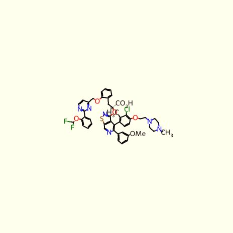 COc1cccc(-c2ncc3snc(O[C@H](Cc4ccccc4OCc4ccnc(-c5ccccc5OC(F)F)n4)C(=O)O)c3c2-c2ccc(OCCN3CCN(C)CC3)c(Cl)c2C)c1